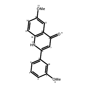 COc1cccc(-c2cc(=O)c3cc(OC)ccc3[nH]2)c1